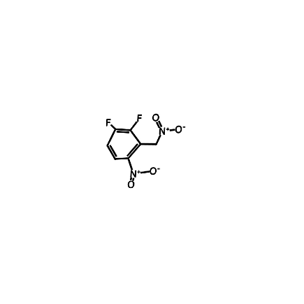 O=[N+]([O-])Cc1c([N+](=O)[O-])ccc(F)c1F